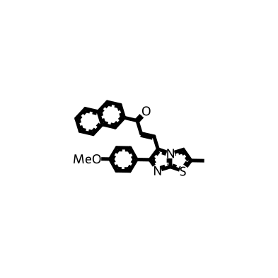 COc1ccc(-c2nc3sc(C)cn3c2C=CC(=O)c2ccc3ccccc3c2)cc1